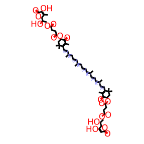 CC1=C(/C=C/C(C)=C/C=C/C(C)=C/C=C/C=C(C)/C=C/C=C(C)/C=C/C2=C(C)C(=O)C(OC(=O)CCC(=O)OCC(O)C3OC(=O)C(O)=C3C)CC2(C)C)C(C)(C)CC(OC(=O)CCC(=O)OCC(O)C2OC(=O)C=C2O)C1=O